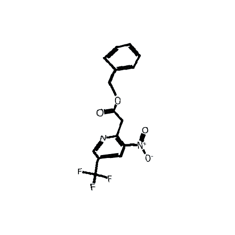 O=C(Cc1ncc(C(F)(F)F)cc1[N+](=O)[O-])OCc1ccccc1